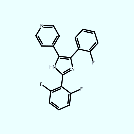 Fc1ccccc1-c1nc(-c2c(F)cccc2F)[nH]c1-c1ccncc1